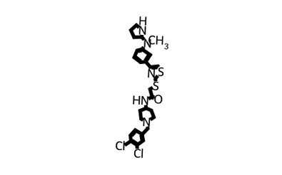 CN(c1cccc(-c2csc(SCC(=O)NC3CCN(Cc4ccc(Cl)c(Cl)c4)CC3)n2)c1)C1CCCN1